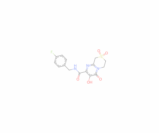 O=C(NCc1ccc(F)cc1)c1nc2n(c(=O)c1O)CCS(=O)(=O)C2